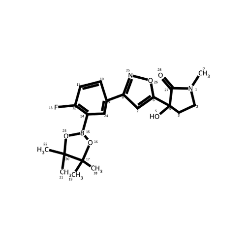 CN1CCC(O)(c2cc(-c3ccc(F)c(B4OC(C)(C)C(C)(C)O4)c3)no2)C1=O